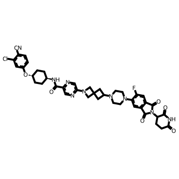 N#Cc1ccc(O[C@H]2CC[C@H](NC(=O)c3cnc(N4CC5(CC(N6CCN(c7cc8c(cc7F)C(=O)N(C7CCC(=O)NC7=O)C8=O)CC6)C5)C4)cn3)CC2)cc1Cl